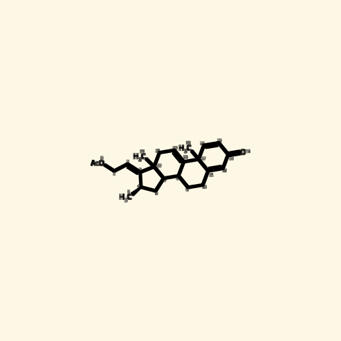 CC(=O)OC/C=C1\[C@H](C)CC2C3CCC4=CC(=O)C=CC4(C)C3=CCC12C